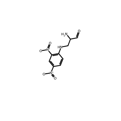 NC([C]=O)CNc1ccc([N+](=O)[O-])cc1[N+](=O)[O-]